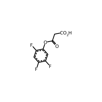 O=C(O)CC(=O)Oc1cc(F)c(F)cc1F